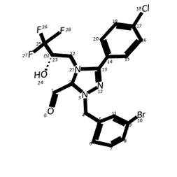 O=CC1N(Cc2cccc(Br)c2)N=C(c2ccc(Cl)cc2)N1C[C@H](O)C(F)(F)F